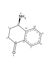 N[C@@H]1CCC(=O)c2ccccc21